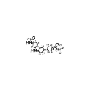 CC(=O)Nc1ccc2c(c1)[nH]c1ccc(C3=CCN(C(=O)OC(C)(C)C)CC3)cc12